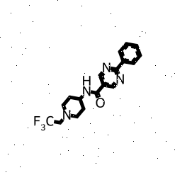 O=C(NC1CCN(CC(F)(F)F)CC1)c1cnc(-c2ccccc2)nc1